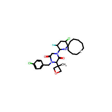 CC1(C2C(=O)N(C3NC4(CCCCCCCCC4)C(Cl)CC3F)CC(=O)N2Cc2ccc(Cl)cc2)COC1